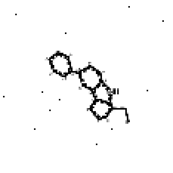 CCc1cccc2c1[nH]c1ccc(-c3ccccc3)cc12